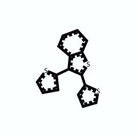 c1csc(-c2sc3ccccc3c2-c2cccs2)c1